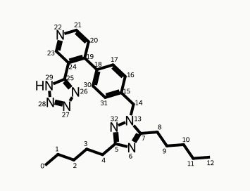 CCCCCc1nc(CCCCC)n(Cc2ccc(-c3ccncc3-c3nnn[nH]3)cc2)n1